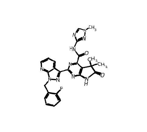 Cn1cnc(NC(=O)c2nc(-c3nn(Cc4ccccc4F)c4ncccc34)nc3c2C(C)(C)C(=O)N3)n1